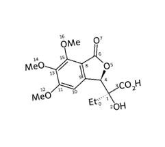 CC[C@@](O)(C(=O)O)[C@@H]1OC(=O)c2c1cc(OC)c(OC)c2OC